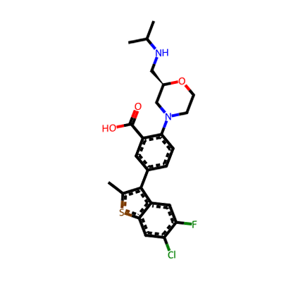 Cc1sc2cc(Cl)c(F)cc2c1-c1ccc(N2CCO[C@H](CNC(C)C)C2)c(C(=O)O)c1